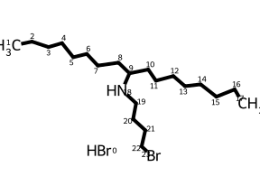 Br.CCCCCCCCC(CCCCCCCC)NCCCCBr